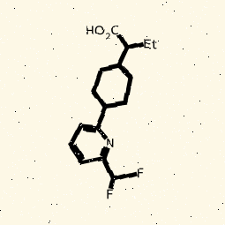 CCC(C(=O)O)C1CCC(c2cccc(C(F)F)n2)CC1